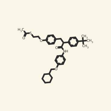 CC(=O)SCCOc1ccc(CC(C(=O)Nc2ccc(OCC3CCCCC3)cc2)c2ccc(C(C)(C)C)cc2)cc1